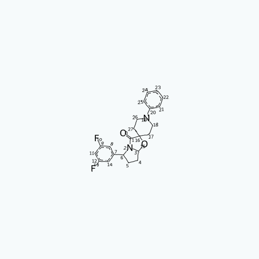 O=C1N2C(CCC2c2cc(F)cc(F)c2)OC12CCN(c1ccccc1)CC2